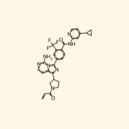 C=CC(=O)N1CCC(c2nc(-c3ccc(C(=O)Nc4cc(C5CC5)ccn4)c(C(F)(F)F)c3)n3c(N)nccc23)C1